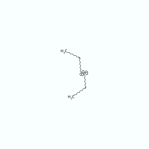 CCCCCCCC/C=C\CCCCCCCC1(OC2(CCCCCCC/C=C\CCCCCCCC)CCO2)CCO1